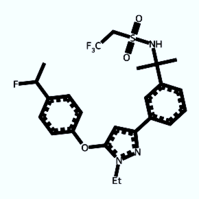 CCn1nc(-c2cccc(C(C)(C)NS(=O)(=O)CC(F)(F)F)c2)cc1Oc1ccc(C(C)F)cc1